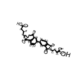 O=C(O)CCCN1C(=O)c2ccc(-c3ccc4c(c3)C(=O)N(CCCC(=O)O)C4=O)cc2C1=O